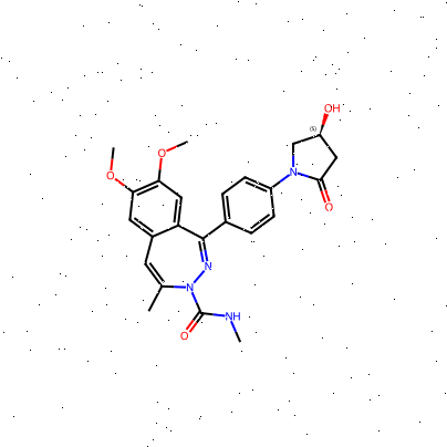 CNC(=O)N1N=C(c2ccc(N3C[C@@H](O)CC3=O)cc2)c2cc(OC)c(OC)cc2C=C1C